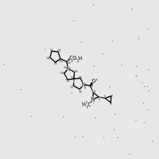 CN1[C@H](C2CC2)[C@@H]1C(=O)N1CC[C@]2(CCN([C@H](C(=O)O)C3CCCC3)C2)C1